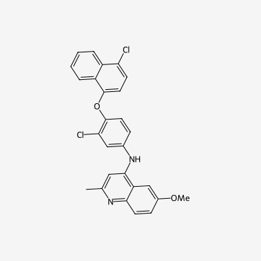 COc1ccc2nc(C)cc(Nc3ccc(Oc4ccc(Cl)c5ccccc45)c(Cl)c3)c2c1